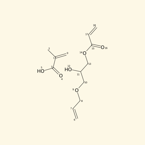 C=C(C)C(=O)O.C=CCOCC(O)COC(=O)C=C